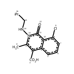 Cc1c(C(=O)O)c2cccc(Cl)c2c(=O)n1NCC(C)C